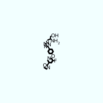 NC(CO)Cn1nnc(-c2ccc(Oc3ncc(-c4ncco4)cc3F)cc2)n1